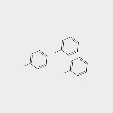 [Al+3].[O-]c1ccccc1.[O-]c1ccccc1.[O-]c1ccccc1